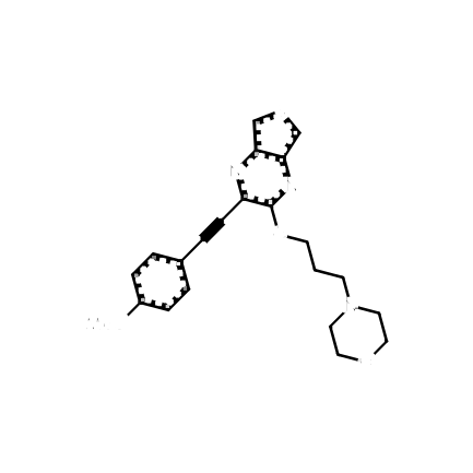 COc1ccc(C#Cc2nc3cscc3nc2OCCCN2CCOCC2)cc1